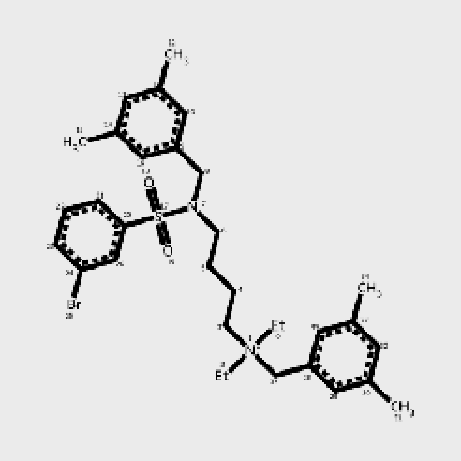 CC[N+](CC)(CCCCN(Cc1cc(C)cc(C)c1)S(=O)(=O)c1cccc(Br)c1)Cc1cc(C)cc(C)c1